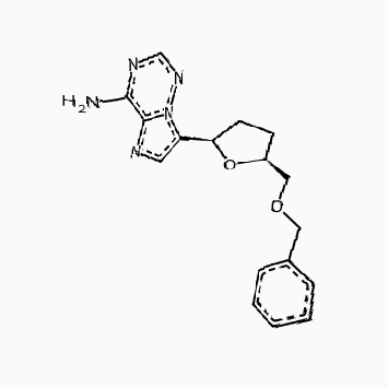 Nc1ncnn2c([C@H]3CC[C@@H](COCc4ccccc4)O3)cnc12